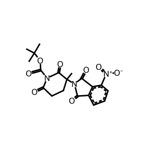 CC(C)(C)OC(=O)N1C(=O)CCC(C)(N2C(=O)c3cccc([N+](=O)[O-])c3C2=O)C1=O